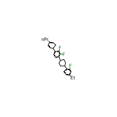 CCCC1=CCC(c2ccc(C3CCC(c4ccc(CC)cc4F)CC3)c(F)c2F)C=C1